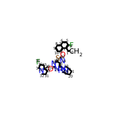 C=Cc1c(F)ccc2cccc(Oc3nc4c(N5CC6CCC(C5)N6)nc(OC[C@@]56CCCN5C[C@H](F)C6)nc4s3)c12